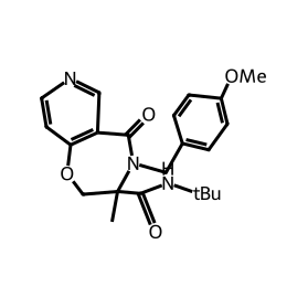 COc1ccc(CN2C(=O)c3cnccc3OCC2(C)C(=O)NC(C)(C)C)cc1